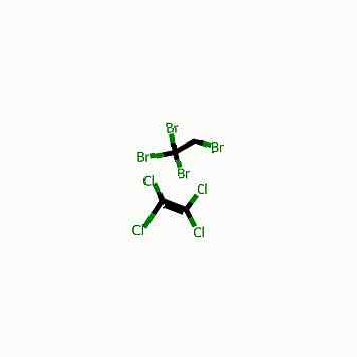 BrCC(Br)(Br)Br.ClC(Cl)=C(Cl)Cl